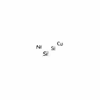 [Cu].[Ni].[Si].[Si]